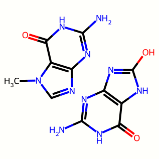 Cn1cnc2nc(N)[nH]c(=O)c21.Nc1nc2nc(O)[nH]c2c(=O)[nH]1